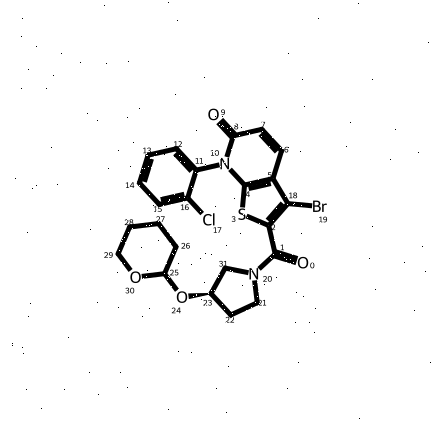 O=C(c1sc2c(ccc(=O)n2-c2ccccc2Cl)c1Br)N1CC[C@@H](OC2CCCCO2)C1